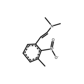 Cc1cccc(C=CN(C)C)c1[N+](=O)[O-]